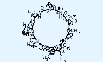 C=CI.CC=CC[C@@H](C)[C@@H](O)[C@H]1C(=O)N[C@@H](CC)C(=O)N(C)CC(=O)N(C)[C@@H](CC(C)C)C(=O)N[C@@H](C(C)C)C(=O)N(C)[C@@H](CC(C)C)C(=O)N[C@@H](C)C(=O)N[C@H](C)C(=O)N(C)[C@@H](CC(C)C)C(=O)N(C)[C@@H](CC(C)C)C(=O)N(C)[C@@H](C(C)C)C(=O)N1C